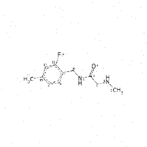 CNCC(=O)NCc1ccc(C)cc1F